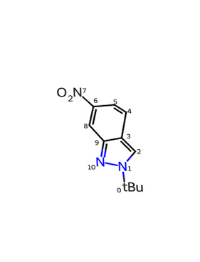 CC(C)(C)n1cc2ccc([N+](=O)[O-])cc2n1